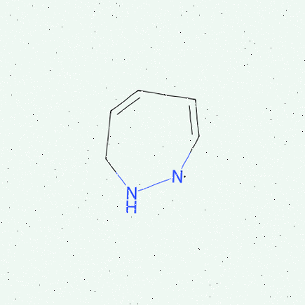 C1=CCN[N]C=C1